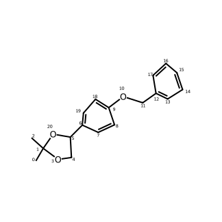 CC1(C)OCC(c2ccc(OCc3ccccc3)cc2)O1